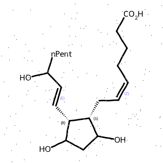 CCCCCC(O)/C=C/[C@H]1C(O)CC(O)[C@H]1C/C=C\CCCC(=O)O